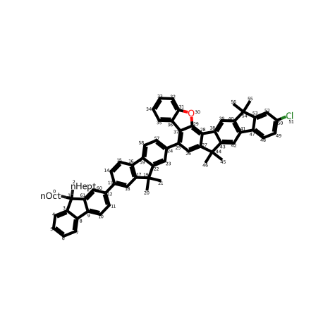 CCCCCCCCC1(CCCCCCC)c2ccccc2-c2ccc(-c3ccc4c(c3)C(C)(C)c3cc(-c5cc6c(c7oc8ccccc8c57)-c5cc7c(cc5C6(C)C)-c5ccc(Cl)cc5C7(C)C)ccc3-4)cc21